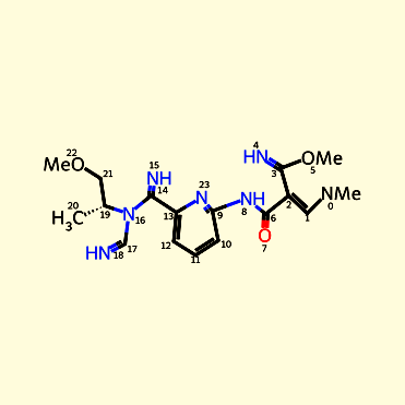 CN/C=C(\C(=N)OC)C(=O)Nc1cccc(C(=N)N(C=N)[C@H](C)COC)n1